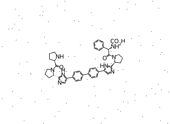 O=C(O)N[C@@H](C(=O)N1CCC[C@H]1c1ncc(-c2ccc(-c3ccc(-c4cnc([C@@H]5CCCN5C(=O)[C@H]5CCCN5)[nH]4)cc3)cc2)[nH]1)c1ccccc1